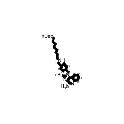 CCCCCCCCCCCCCCCCCCNCc1ccc(Cn2c(CCCC)nc3c(N)nc4ccccc4c32)cc1